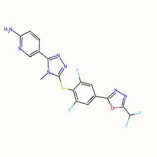 Cn1c(Sc2c(F)cc(-c3nnc(C(F)F)o3)cc2F)nnc1-c1ccc(N)nc1